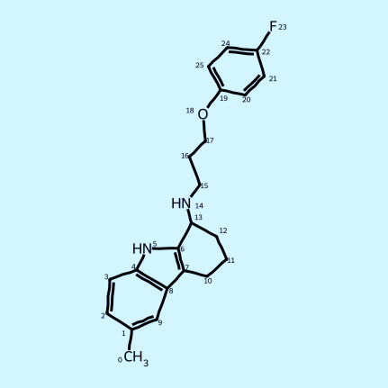 Cc1ccc2[nH]c3c(c2c1)CCCC3NCCCOc1ccc(F)cc1